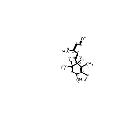 CC1=C(CF)C(O)CC(C)(C)C1(O)/C=C/C(C)=C\C=O